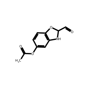 CC(=O)Oc1ccc2c(c1)NC(C=O)O2